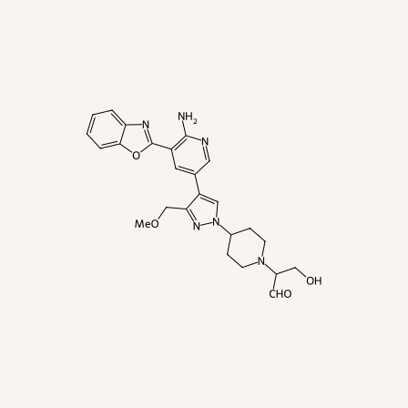 COCc1nn(C2CCN(C(C=O)CO)CC2)cc1-c1cnc(N)c(-c2nc3ccccc3o2)c1